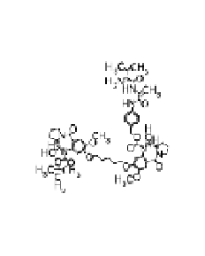 COc1cc2c(cc1OCCCCCOc1cc3c(cc1OC)C(=O)N1CCC[C@H]1[C@H](O)N3C(=O)OC(C)(C)C)N(C(=O)OCc1ccc(NC(=O)[C@H](C)NC(=O)[C@@H](N)C(C)C)cc1)[C@@H](O)[C@@H]1CCCN1C2=O